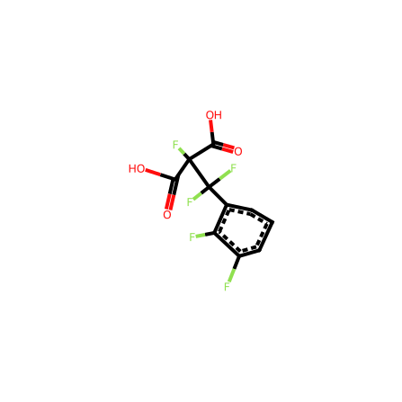 O=C(O)C(F)(C(=O)O)C(F)(F)c1cccc(F)c1F